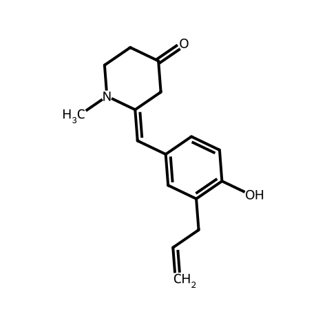 C=CCc1cc(C=C2CC(=O)CCN2C)ccc1O